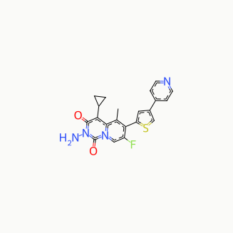 Cc1c(-c2cc(-c3ccncc3)cs2)c(F)cn2c(=O)n(N)c(=O)c(C3CC3)c12